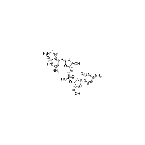 N/C=N\c1c(C[C@H]2C[C@@H](O)C(COP(=O)(O)O[C@@H]3C[C@H](n4cnc(N)nc4=O)OC3CO)O2)nc(N)[nH]c1=O